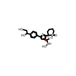 O=C(C[C@]1(c2ccc(-c3ccc(C(O)CO)cc3)s2)CCCCS1(=O)=O)NO